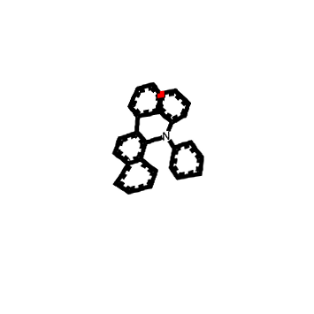 c1ccc(-c2ccc3ccccc3c2N(c2ccccc2)c2ccccc2)cc1